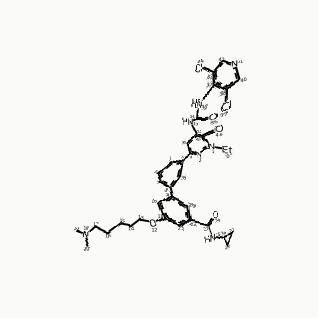 CCn1nc(-c2cccc(-c3cc(OCCCCCN(C)C)cc(C(=O)NC4CC4)c3)c2)cc(NC(=O)Nc2c(Cl)cncc2Cl)c1=O